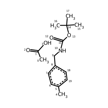 CC(=O)O.Cc1ccc(CNC(=O)OC(C)(C)C)cc1